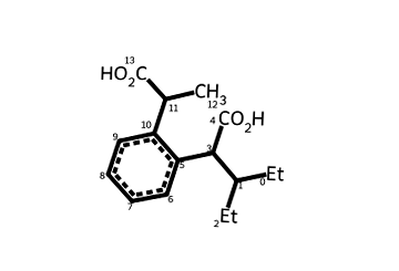 CCC(CC)C(C(=O)O)c1ccccc1C(C)C(=O)O